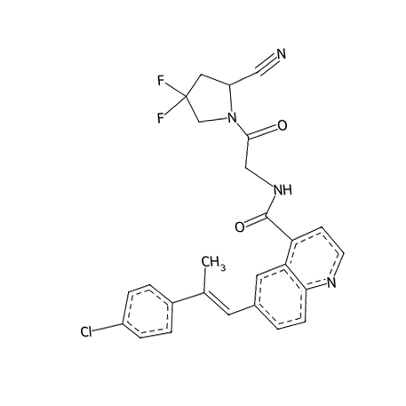 CC(=Cc1ccc2nccc(C(=O)NCC(=O)N3CC(F)(F)CC3C#N)c2c1)c1ccc(Cl)cc1